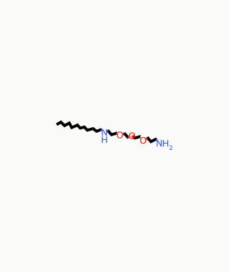 CCCCCCCCCCCCNCCCOCCOCCOCCCN